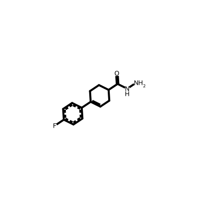 NNC(=O)C1CC=C(c2ccc(F)cc2)CC1